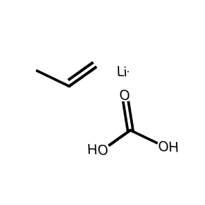 C=CC.O=C(O)O.[Li]